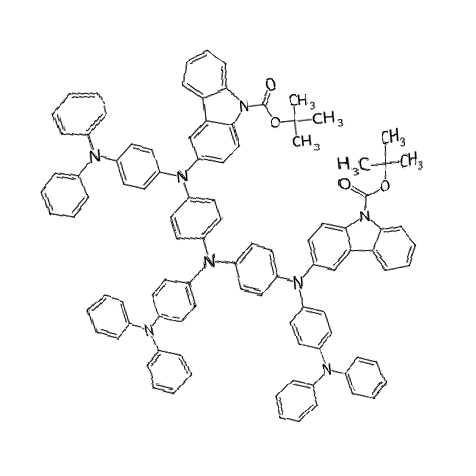 CC(C)(C)OC(=O)n1c2ccccc2c2cc(N(c3ccc(N(c4ccccc4)c4ccccc4)cc3)c3ccc(N(c4ccc(N(c5ccccc5)c5ccccc5)cc4)c4ccc(N(c5ccc(N(c6ccccc6)c6ccccc6)cc5)c5ccc6c(c5)c5ccccc5n6C(=O)OC(C)(C)C)cc4)cc3)ccc21